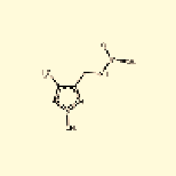 Cc1cn(C)nc1CN[S@@+]([O-])C(C)(C)C